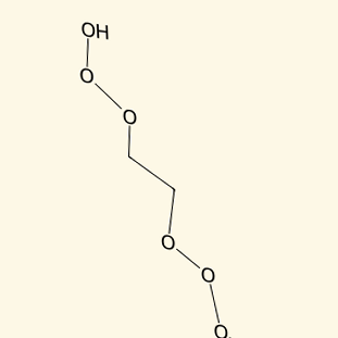 OOOCCOOOO